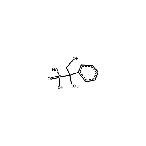 O=C(O)C(CO)(c1ccccc1)P(=O)(O)O